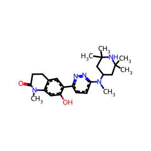 CN1C(=O)CCc2cc(-c3ccc(N(C)C4CC(C)(C)NC(C)(C)C4)nn3)c(O)cc21